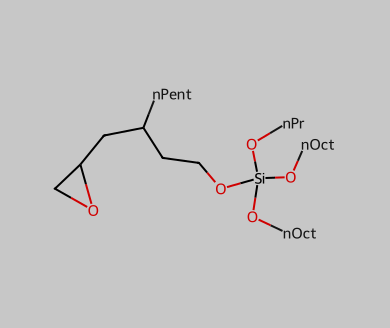 CCCCCCCCO[Si](OCCC)(OCCCCCCCC)OCCC(CCCCC)CC1CO1